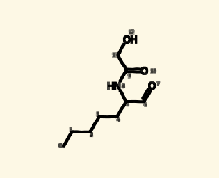 CCCCCC(C=O)NC(=O)CO